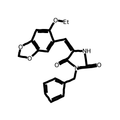 CCOc1cc2c(cc1C=C1NC(=O)N(Cc3ccccc3)C1=O)OCO2